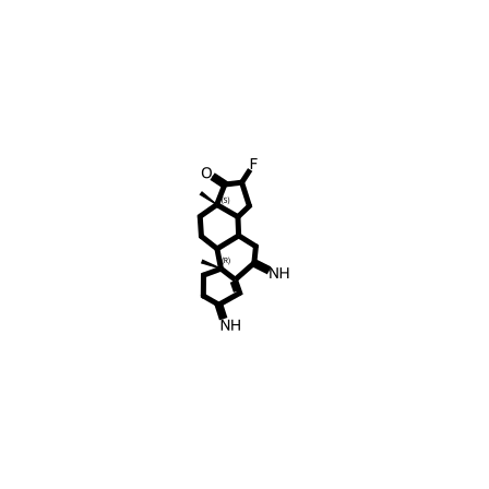 C[C@]12CCC(=N)C=C1C(=N)CC1C2CC[C@]2(C)C(=O)C(F)CC12